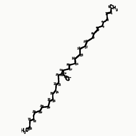 CCCCCCCCCCCCCCCCCCC=[N+]([O-])CCCCCCCCCCCCCCC